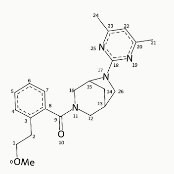 COCCc1ccccc1C(=O)N1CC2CC(C1)N(c1nc(C)cc(C)n1)C2